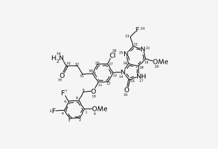 COc1ccc(F)c(F)c1COc1cc(-n2c(=O)[nH]c3c(OC)nc(CF)nc32)c(Cl)cc1CCC(N)=O